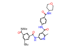 CNC(=O)c1cc(C(=O)Nc2cnc(C)c(C(=O)Nc3ccc(C(=O)NC4CCOCC4)cc3)c2)cc(C(C)(C)C)c1